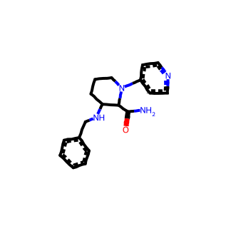 NC(=O)C1C(NCc2ccccc2)CCCN1c1[c]cncc1